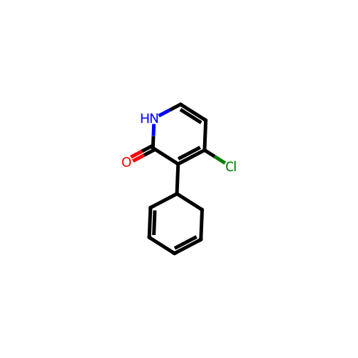 O=c1[nH]ccc(Cl)c1C1C=CC=CC1